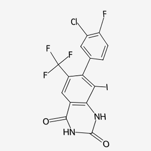 O=c1[nH]c(=O)c2cc(C(F)(F)F)c(-c3ccc(F)c(Cl)c3)c(I)c2[nH]1